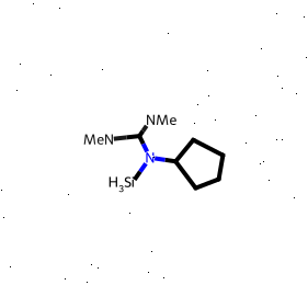 CNC(NC)N([SiH3])C1CCCC1